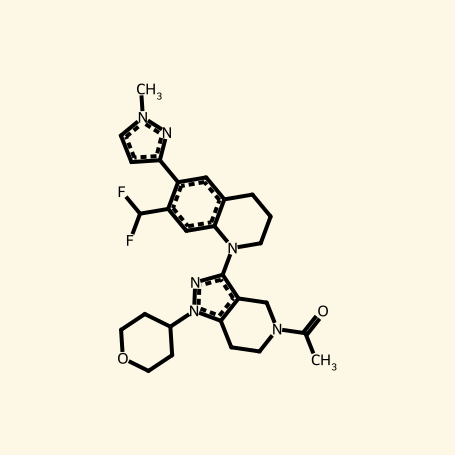 CC(=O)N1CCc2c(c(N3CCCc4cc(-c5ccn(C)n5)c(C(F)F)cc43)nn2C2CCOCC2)C1